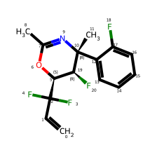 C=CC(F)(F)[C@H]1OC(C)=N[C@](C)(c2ccccc2F)[C@H]1F